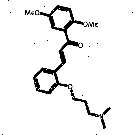 COc1ccc(OC)c(C(=O)C=Cc2ccccc2OCCCN(C)C)c1